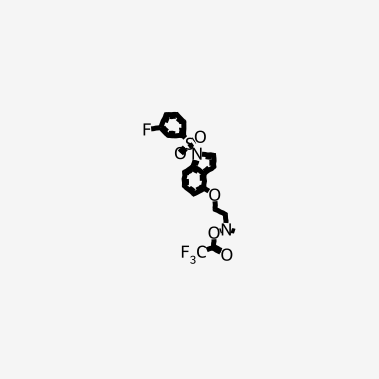 CN(CCOc1cccc2c1ccn2S(=O)(=O)c1cccc(F)c1)OC(=O)C(F)(F)F